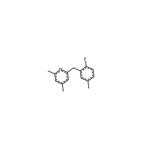 Cc1cc(C)nc(Cc2cc(C)ccc2F)c1